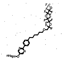 CCCCCCCOc1cnc(-c2ccc(CCCCCCOCC(F)(F)OC(F)(F)C(F)(F)OC(F)(F)C(F)(F)OC(F)(F)F)cc2)nc1